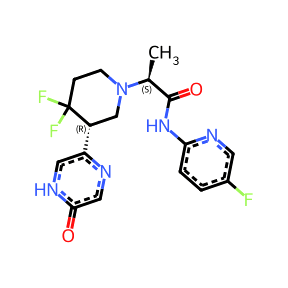 C[C@@H](C(=O)Nc1ccc(F)cn1)N1CCC(F)(F)[C@@H](c2c[nH]c(=O)cn2)C1